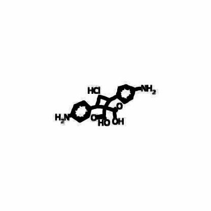 Cl.Nc1ccc(C2CC(c3ccc(N)cc3)C2(C(=O)O)C(=O)O)cc1